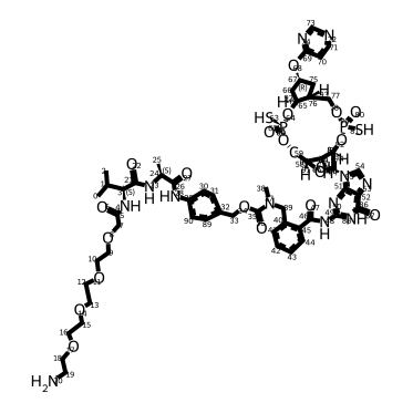 CC(C)[C@H](NC(=O)COCCOCCOCCOCCN)C(=O)N[C@@H](C)C(=O)Nc1ccc(COC(=O)N(C)Cc2ccccc2C(=O)Nc2nc3c(ncn3[C@@H]3O[C@@H]4CO[P@@](=O)(S)O[C@H]5C[C@H](Oc6ccncn6)C[C@@H]5COP(=O)(S)O[C@@H]3[C@@H]4O)c(=O)[nH]2)cc1